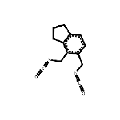 O=C=NCc1ccc2c(c1CN=C=O)CCC2